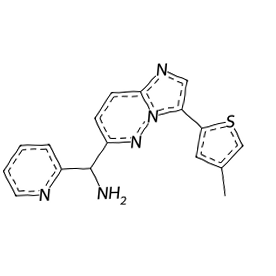 Cc1csc(-c2cnc3ccc(C(N)c4ccccn4)nn23)c1